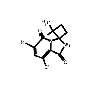 CC1(C)CCC12NC(=O)c1c(Cl)cc(Br)c(=O)n12